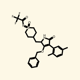 Cc1ccc(C)c(C2=C(OCc3ccccc3)C(CC3CCS(=O)(=NC(=O)C(F)(F)F)CC3)NC2=O)c1